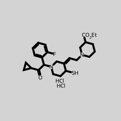 CCOC(=O)C1CCCN(C/C=C2/CN(C(C(=O)C3CC3)c3ccccc3F)CCC2S)C1.Cl.Cl